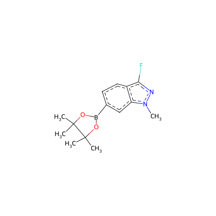 Cn1nc(F)c2ccc(B3OC(C)(C)C(C)(C)O3)cc21